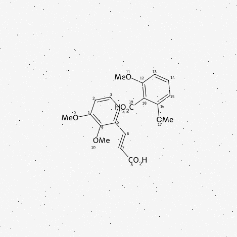 COc1cccc(C=CC(=O)O)c1OC.COc1cccc(OC)c1C(=O)O